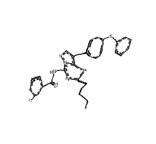 CCCCc1nc(NC(=O)c2cccc(Cl)c2)n2ncc(-c3ccc(Sc4ccccc4)cc3)c2n1